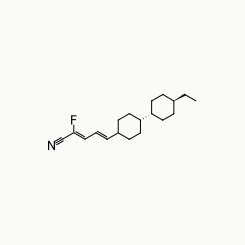 CC[C@H]1CC[C@H](C2CCC(/C=C/C=C(\F)C#N)CC2)CC1